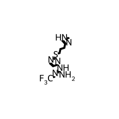 NC(=NCC(F)(F)F)Nc1ccnc(SCCCc2c[nH]cn2)n1